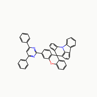 c1ccc(-c2cc(-c3ccccc3)nc(-c3ccc4c(c3)Oc3ccccc3C43c4ccccc4-n4c5ccccc5c5cccc3c54)n2)cc1